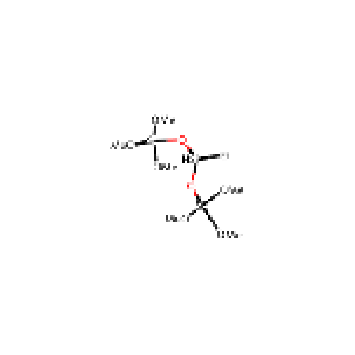 CC[SiH](O[Si](OC)(OC)OC)O[Si](OC)(OC)OC